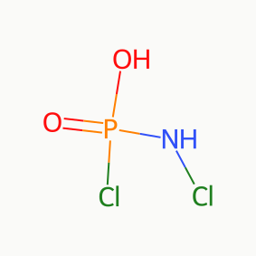 O=P(O)(Cl)NCl